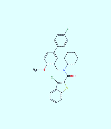 COc1ccc(-c2ccc(Cl)cc2)cc1CN(C(=O)c1sc2ccccc2c1Cl)C1CCCCC1